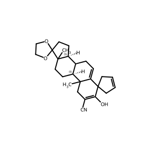 CC12CC(C#N)=C(O)C3(CC=CC3)C1=CCC1[C@@H]2CCC2(C)[C@H]1CCC21OCCO1